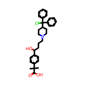 CC(C)(C(=O)O)c1ccc(C(O)CCCN2CCC(C(Cl)(c3ccccc3)c3ccccc3)CC2)cc1